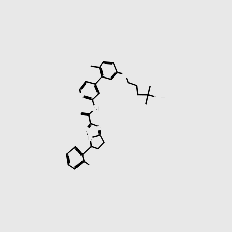 Cc1ccc(OCCCC(C)(C)O)cc1-c1ccnc(NC(=O)c2nc3n(n2)C(c2ccccc2Cl)CC3)c1